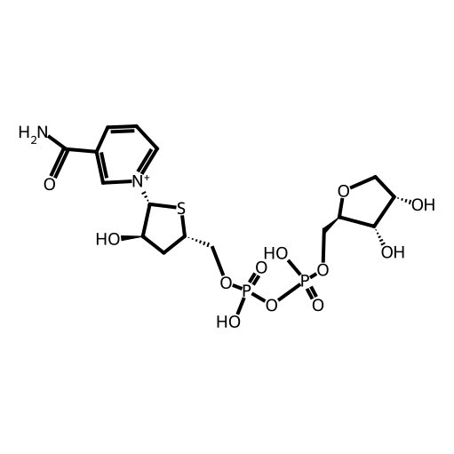 NC(=O)c1ccc[n+]([C@@H]2S[C@H](COP(=O)(O)OP(=O)(O)OC[C@H]3OC[C@H](O)[C@@H]3O)C[C@H]2O)c1